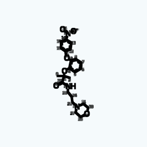 CC(C)(Oc1ccccc1Oc1ccc([N+](=O)[O-])cc1)C(=O)NCCCN1CCOCC1